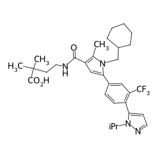 Cc1c(C(=O)NCCC(C)(C)C(=O)O)cc(-c2ccc(-c3ccnn3C(C)C)c(C(F)(F)F)c2)n1CC1CCCCC1